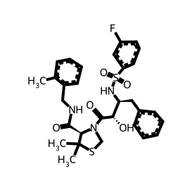 Cc1ccccc1CNC(=O)[C@H]1N(C(=O)[C@@H](O)[C@H](Cc2ccccc2)NS(=O)(=O)c2cccc(F)c2)CSC1(C)C